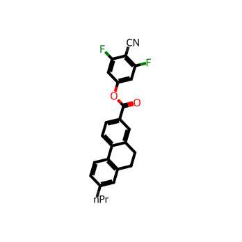 CCCc1ccc2c(c1)CCc1cc(C(=O)Oc3cc(F)c(C#N)c(F)c3)ccc1-2